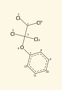 ClC(Cl)C(Cl)(Cl)Oc1cc[c]cc1